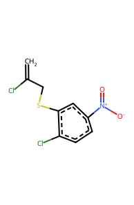 C=C(Cl)CSc1cc([N+](=O)[O-])ccc1Cl